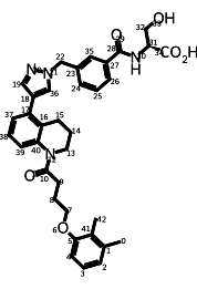 Cc1cccc(OCCCC(=O)N2CCCc3c(-c4cnn(Cc5cccc(C(=O)N[C@@H](CO)C(=O)O)c5)c4)cccc32)c1C